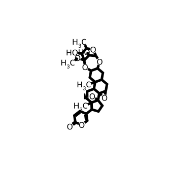 COC12OC3CC4(C)C(CC3OC(OC(C)C1O)C2O)CC1OC12C4CCC1(C)C(c3ccc(=O)oc3)CCC12O